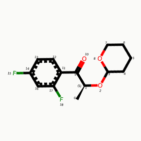 C[C@H](OC1CCCCO1)C(=O)c1ccc(F)cc1F